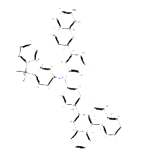 CC1(C)c2ccccc2-c2cc(N(c3ccc(-c4cc5ccccc5c5c4ccc4ccccc45)cc3)c3cccc(-c4ccc5ccccc5c4)c3)ccc21